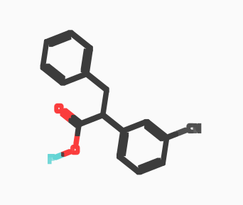 N#Cc1cccc(C(Cc2ccccc2)C(=O)OF)c1